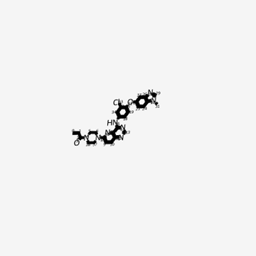 C=CC(=O)N1CCN(c2ccc3ncnc(Nc4ccc(Oc5ccc6c(c5)ncn6C)c(Cl)c4)c3n2)CC1